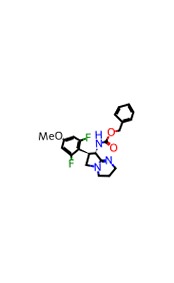 COc1cc(F)c([C@@H]2CN3CCCN=C3[C@H]2NC(=O)OCc2ccccc2)c(F)c1